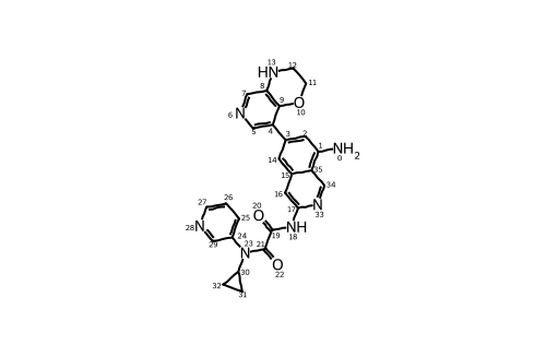 Nc1cc(-c2cncc3c2OCCN3)cc2cc(NC(=O)C(=O)N(c3cccnc3)C3CC3)ncc12